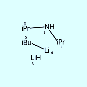 CC(C)NC(C)C.[LiH].[Li][CH](C)CC